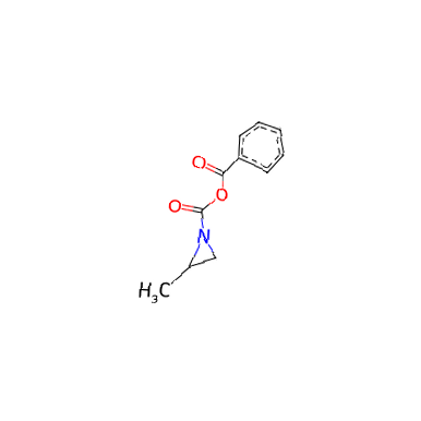 CC1CN1C(=O)OC(=O)c1ccccc1